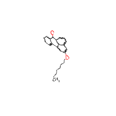 CCCCCCCCOc1cc2c3c(cccc3c1)C(=O)c1ccccc1-2